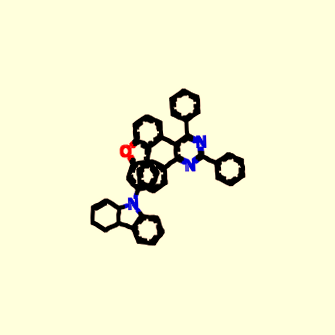 C1=CC2C(CC1)c1ccccc1N2c1ccc2c(c1)oc1cccc(-c3c(-c4ccccc4)nc(-c4ccccc4)nc3-c3ccccc3)c12